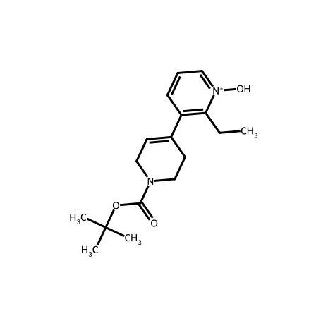 CCc1c(C2=CCN(C(=O)OC(C)(C)C)CC2)ccc[n+]1O